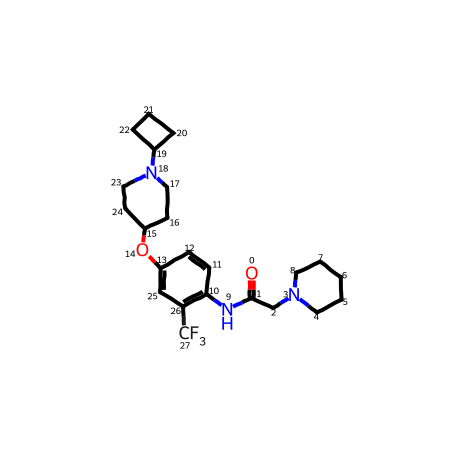 O=C(CN1CCCCC1)Nc1ccc(OC2CCN(C3CCC3)CC2)cc1C(F)(F)F